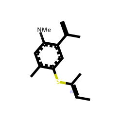 C=C(C)c1cc(S/C(C)=C/C)c(C)cc1NC